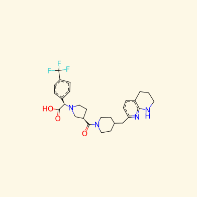 O=C(O)[C@@H](c1ccc(C(F)(F)F)cc1)N1CC[C@@H](C(=O)N2CCC(Cc3ccc4c(n3)NCCC4)CC2)C1